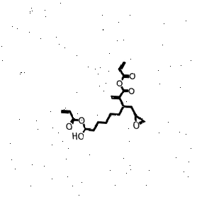 C=CC(=O)OC(=O)C(=C)C(CCCCCC(O)OC(=O)C=C)CC1CO1